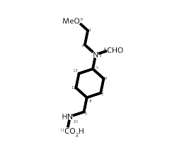 COCCN(C=O)C1CCC(CNC(=O)O)CC1